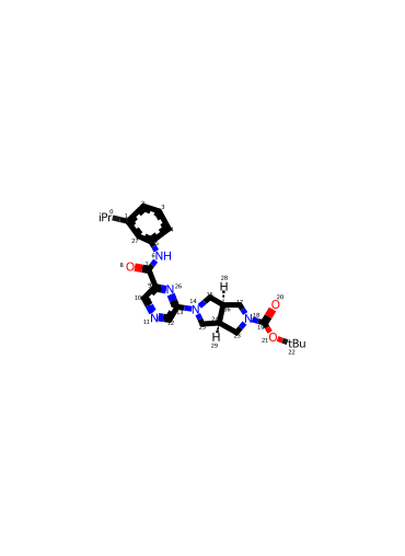 CC(C)c1cccc(NC(=O)c2cncc(N3C[C@H]4CN(C(=O)OC(C)(C)C)C[C@H]4C3)n2)c1